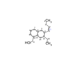 CC/C=C\c1cc2cccc(CO)c2cc1CC